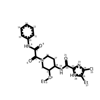 CCOC1CN(C(=O)C(=O)Nc2ccccc2)CCC1NC(=O)c1nc(Cl)c(CC)[nH]1